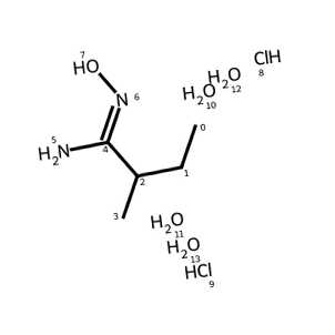 CCC(C)C(N)=NO.Cl.Cl.O.O.O.O